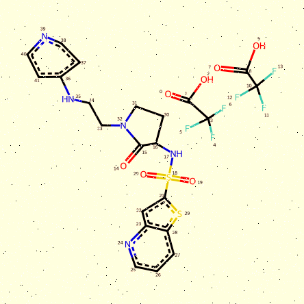 O=C(O)C(F)(F)F.O=C(O)C(F)(F)F.O=C1C(NS(=O)(=O)c2cc3ncccc3s2)CCN1CCNc1ccncc1